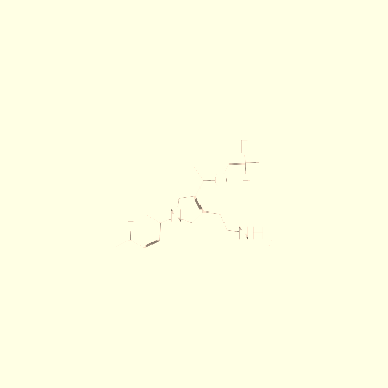 CC(F)/C=C\C(C)N1CC(CCN)=C(C(C)OCC(F)(F)F)C1